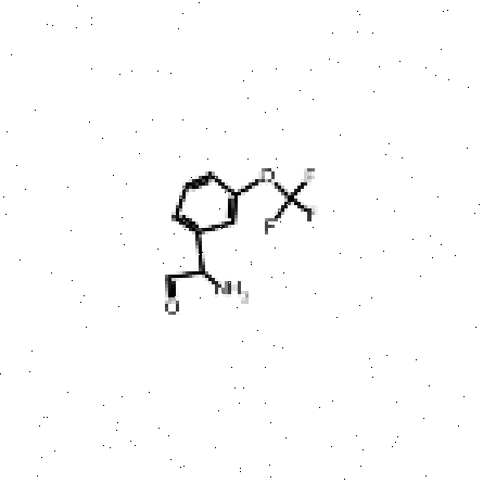 NC(C=O)c1cccc(OC(F)(F)F)c1